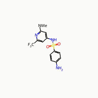 CNc1cc(NS(=O)(=O)c2ccc(N)cc2)cc(C(F)(F)F)n1